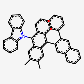 Cc1cc2c(-c3cc4ccccc4cc3-c3ccccc3)c3ccccc3c(-n3c4ccccc4c4ccccc43)c2cc1C